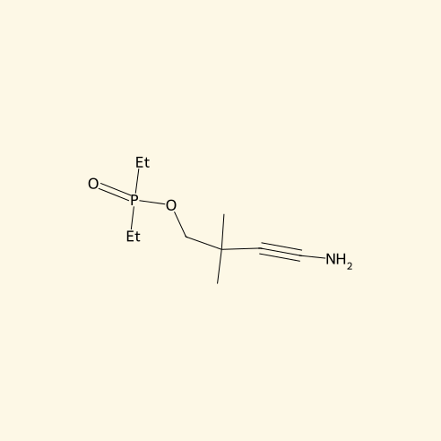 CCP(=O)(CC)OCC(C)(C)C#CN